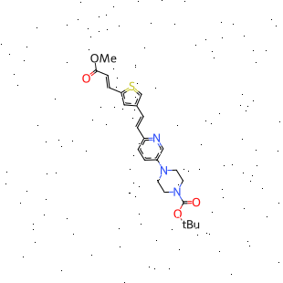 COC(=O)/C=C/c1cc(/C=C/c2ccc(N3CCN(C(=O)OC(C)(C)C)CC3)cn2)cs1